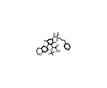 Cc1cc(NS(=O)(=O)CCCc2ccccc2)c(C)c(C(OC(C)(C)C)C(=O)O)c1-c1ccc2c(c1)CCCO2